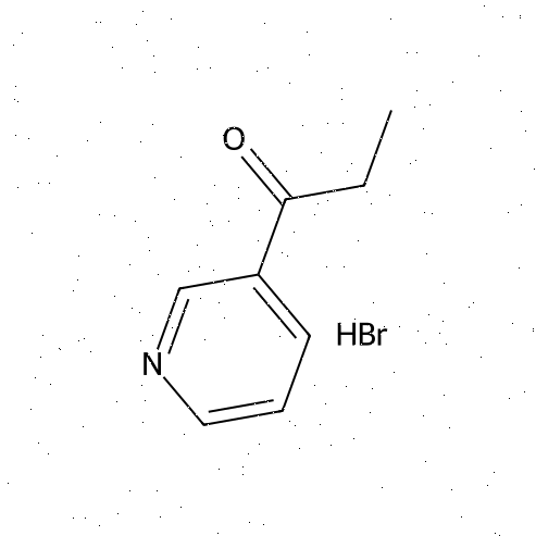 Br.CCC(=O)c1cccnc1